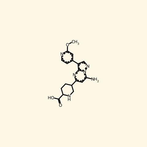 COc1cc(-c2cnn3c(N)cc(C4CCC(C(=O)O)NC4)nc23)ccn1